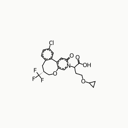 O=C(O)C(CCOC1CC1)n1cc2c(cc1=O)-c1cc(Cl)ccc1C[C@@H](C(F)(F)F)CO2